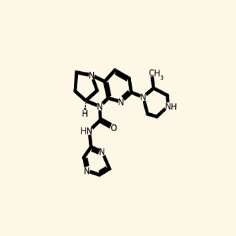 CC1CNCCN1c1ccc2c(n1)N(C(=O)Nc1cnccn1)[C@H]1CCN2C1